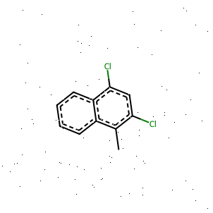 Cc1c(Cl)cc(Cl)c2ccccc12